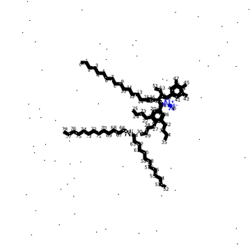 CCCCCCCCCCCCCCCC#CC1=C(c2cc(CCCC)c(CCCC)c(CCCC)c2)[N+](=[N-])C(c2cc(C)c(C)c(C)c2)=C1CC.CCCCCCCCCCCC[CH2][Ni][CH2]CCCCCCCCCCCC